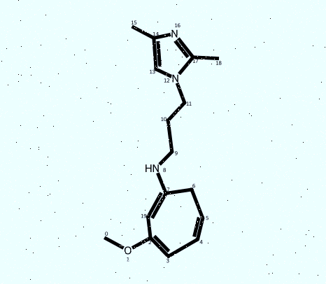 COC1=CC=CCC(NCCCn2cc(C)nc2C)=C1